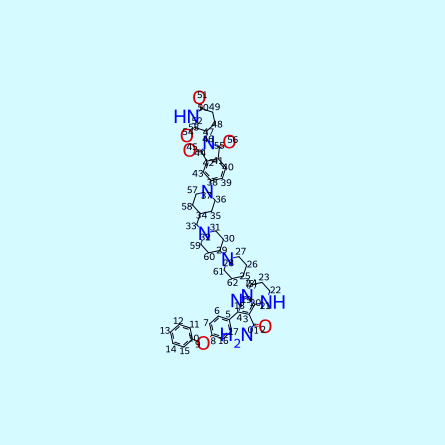 NC(=O)c1c(-c2ccc(Oc3ccccc3)cc2)nn2c1NCC[C@H]2C1CCN(C2CCN(CC3CCN(c4ccc5c(c4)C(=O)N(C4CCC(=O)NC4=O)C5=O)CC3)CC2)CC1